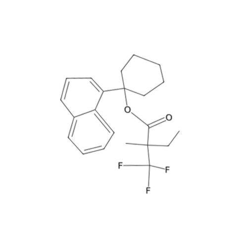 CCC(C)(C(=O)OC1(c2cccc3ccccc23)CCCCC1)C(F)(F)F